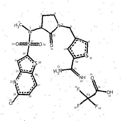 CN(C1CCN(Cc2csc(C(=N)N)c2)C1=O)S(=O)(=O)c1cc2nc(Cl)ccc2s1.O=C(O)C(F)(F)F